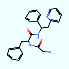 NCC(=O)N[C@@H](Cc1ccccc1)C(=O)NC(Cc1ccccn1)c1ccccc1